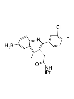 Bc1ccc2nc(-c3ccc(F)c(Cl)c3)c(CC(=O)NC(C)C)c(C)c2c1